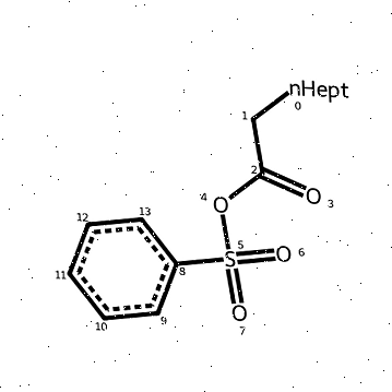 CCCCCCCCC(=O)OS(=O)(=O)c1ccccc1